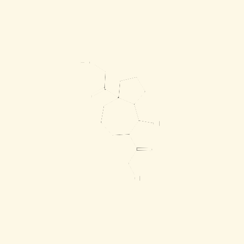 CCC(=O)C1CCCC2(C(=O)CC)CCCC2C1O